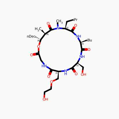 CCCCCCCCCC[C@H]1OC(=O)CNC(=O)[C@H](COCCO)NC(=O)[C@H](CO)NC(=O)[C@H](C(C)CC)NC(=O)[C@H](CC(C)C)N(C)C(=O)[C@@H]1C